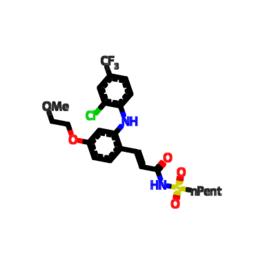 CCCCCS(=O)(=O)NC(=O)/C=C/c1ccc(OCCOC)cc1Nc1ccc(C(F)(F)F)cc1Cl